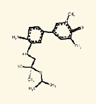 Cc1cc(-c2ccc(N)c(NC[C@](C)(O)OC(C)C)c2)cn(C)c1=O